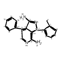 Cc1ccccc1-n1nc(N)c2c(-c3ccccc3)cnc(N)c21